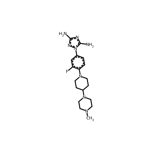 CN1CCN(C2CCN(c3ccc(-n4nc(N)nc4N)cc3F)CC2)CC1